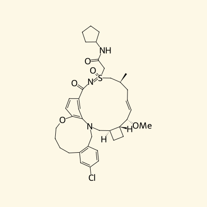 CO[C@H]1/C=C/C[C@H](C)CS(=O)(CC(=O)NC2CCCC2)=NC(=O)c2ccc3c(c2)N(Cc2ccc(Cl)cc2CCCCO3)C[C@@H]2CC[C@H]21